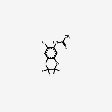 O=C(Nc1cc2c(cc1Br)OC(F)(F)C(F)(F)O2)C(F)(F)F